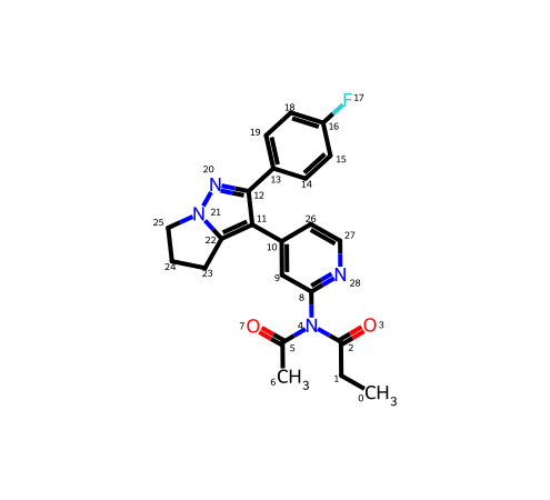 CCC(=O)N(C(C)=O)c1cc(-c2c(-c3ccc(F)cc3)nn3c2CCC3)ccn1